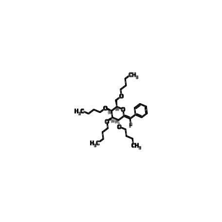 CCCCOC[C@H]1OC(=C(F)c2ccccc2)[C@H](OCCCC)[C@@H](OCCCC)[C@H]1OCCCC